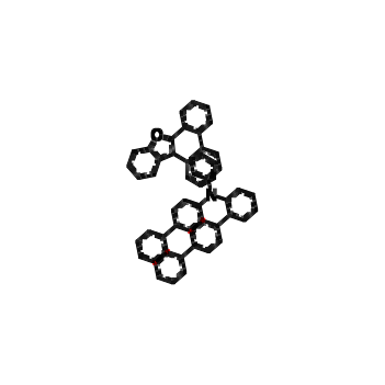 c1ccc(-c2ccc(-c3ccccc3N(c3ccc(-c4ccccc4)cc3)c3ccc(-c4ccccc4-c4oc5ccccc5c4-c4ccccc4)cc3)cc2)cc1